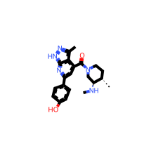 CN[C@@H]1CN(C(=O)c2cc(-c3ccc(O)cc3)nc3[nH]nc(C)c23)CC[C@@H]1C